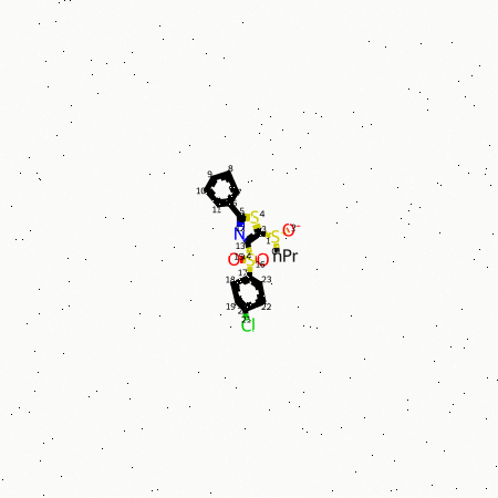 CCC[S+]([O-])c1sc(-c2ccccc2)nc1S(=O)(=O)c1ccc(Cl)cc1